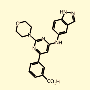 O=C(O)c1cccc(-c2cc(Nc3ccc4[nH]ncc4c3)nc(N3CCOCC3)n2)c1